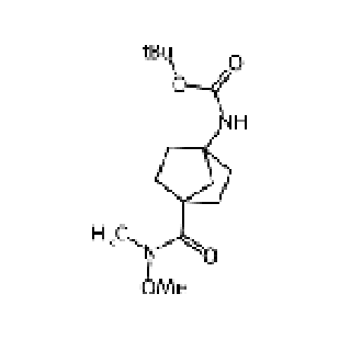 CON(C)C(=O)C12CCC(NC(=O)OC(C)(C)C)(CC1)C2